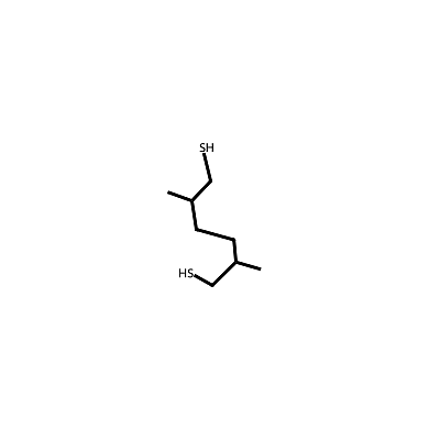 CC(CS)CCC(C)CS